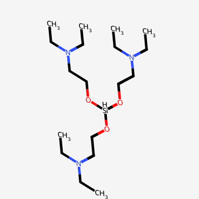 CCN(CC)CCO[SiH](OCCN(CC)CC)OCCN(CC)CC